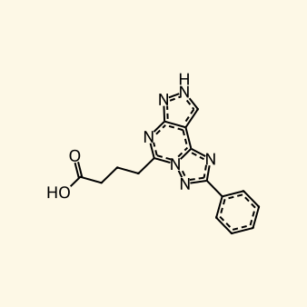 O=C(O)CCCc1nc2n[nH]cc2c2nc(-c3ccccc3)nn12